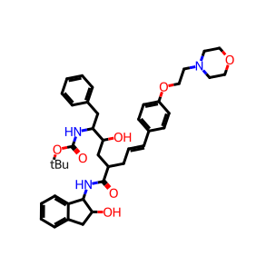 CC(C)(C)OC(=O)NC(Cc1ccccc1)C(O)CC(C/C=C/c1ccc(OCCN2CCOCC2)cc1)C(=O)NC1c2ccccc2CC1O